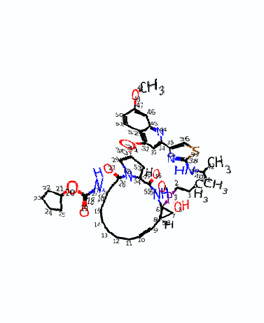 CCCP(=O)(O)[C@@]12C[C@H]1/C=C\CCCCC[C@H](NC(=O)OC1CCCC1)C(=O)N1C[C@H](Oc3cc(-c4csc(NC(C)C)n4)nc4cc(OC)ccc34)C[C@H]1C(=O)N2